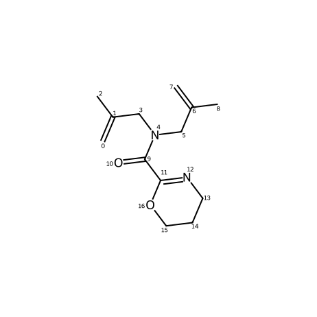 C=C(C)CN(CC(=C)C)C(=O)C1=NCCCO1